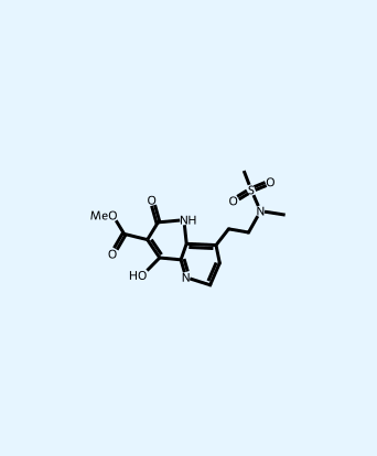 COC(=O)c1c(O)c2nccc(CCN(C)S(C)(=O)=O)c2[nH]c1=O